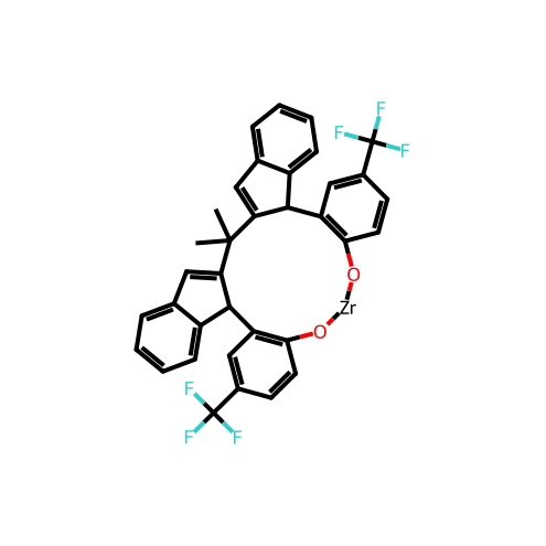 CC1(C)C2=Cc3ccccc3C2c2cc(C(F)(F)F)ccc2[O][Zr][O]c2ccc(C(F)(F)F)cc2C2C1=Cc1ccccc12